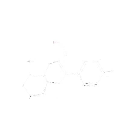 C[C@@]12CCCC[C@@H]1CC(c1ccc(Cl)cc1)=C(CO)C2